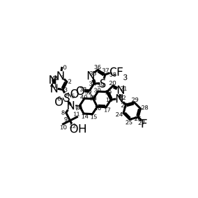 Cn1cc(S(=O)(=O)N(CC(C)(C)O)[C@H]2CCC3=Cc4c(cnn4-c4ccc(F)cc4)C[C@]3(C(=O)c3ncc(C(F)(F)F)s3)C2)nn1